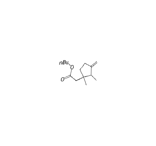 C=C1CCC(C)(CC(=O)OCCCC)C1C